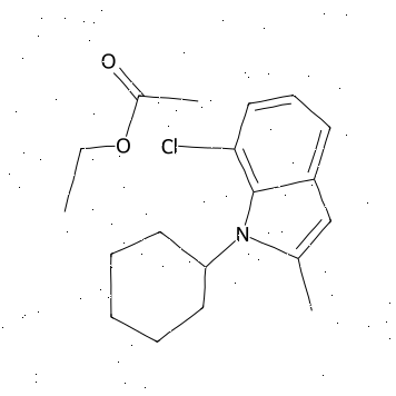 CCOC(C)=O.Cc1cc2cccc(Cl)c2n1C1CCCCC1